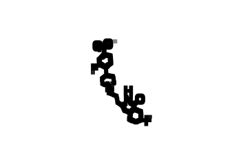 O=c1[nH]c(CCCN2CC=C(c3ccc([N+](=O)[O-])cc3F)CC2)cc2ccc(F)cc12